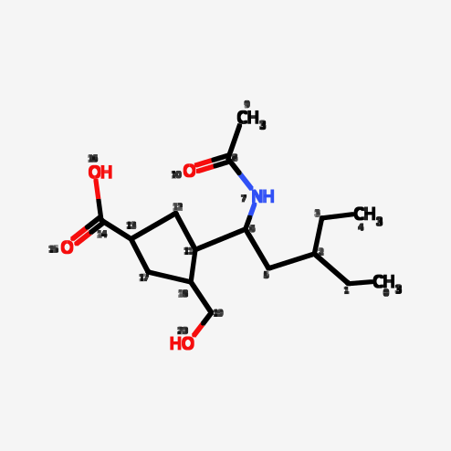 CCC(CC)CC(NC(C)=O)C1CC(C(=O)O)CC1CO